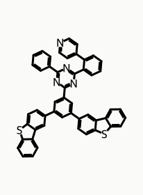 c1ccc(-c2nc(-c3cc(-c4ccc5sc6ccccc6c5c4)cc(-c4ccc5sc6ccccc6c5c4)c3)nc(-c3ccccc3-c3ccncc3)n2)cc1